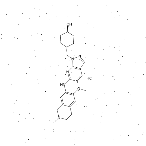 COc1cc2c(cc1Nc1ncc3cnn(C[C@H]4CC[C@H](O)CC4)c3n1)CN(C)CC2.Cl